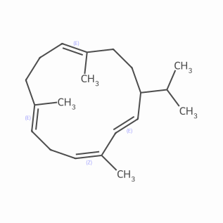 CC1=C/C/C=C(\C)CC/C=C(\C)CCC(C(C)C)\C=C\1